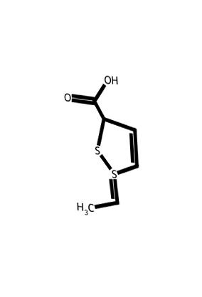 CC=S1C=CC(C(=O)O)S1